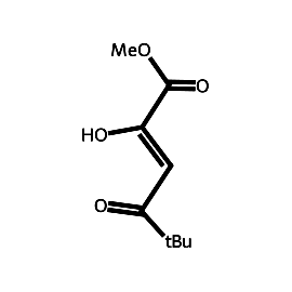 COC(=O)/C(O)=C/C(=O)C(C)(C)C